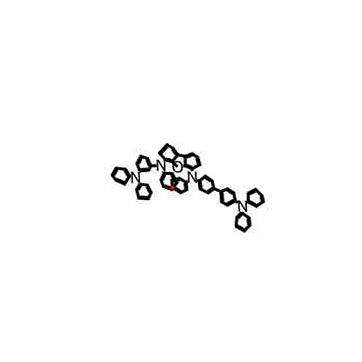 c1ccc(N(c2ccccc2)c2ccc(-c3ccc(N(c4ccccc4)c4cccc5c4oc4c(N(c6ccccc6)c6cccc(N(c7ccccc7)c7ccccc7)c6)cccc45)cc3)cc2)cc1